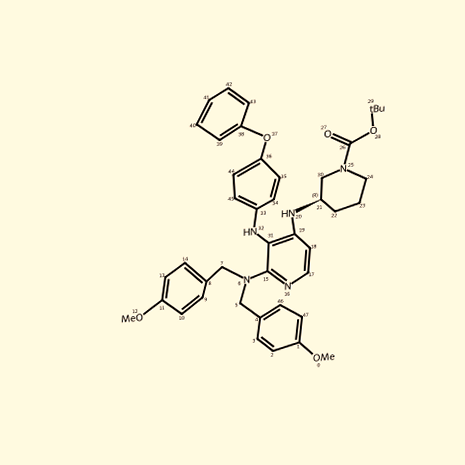 COc1ccc(CN(Cc2ccc(OC)cc2)c2nccc(N[C@@H]3CCCN(C(=O)OC(C)(C)C)C3)c2Nc2ccc(Oc3ccccc3)cc2)cc1